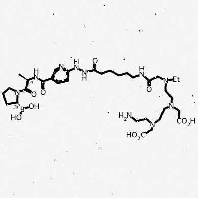 CCN(CCN(CCN(CCN)CC(=O)O)CC(=O)O)CC(=O)NCCCCCC(=O)NNc1ccc(C(=O)N[C@H](C)C(=O)N2CCC[C@H]2B(O)O)cn1